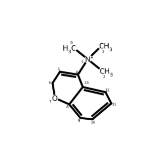 C[N+](C)(C)C1=CCOc2ccccc21